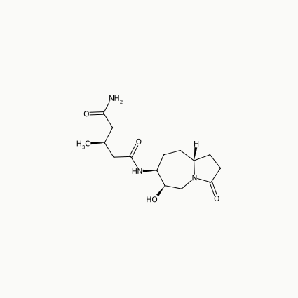 C[C@@H](CC(N)=O)CC(=O)N[C@H]1CC[C@@H]2CCC(=O)N2C[C@H]1O